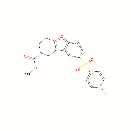 CC(C)(C)OC(=O)N1CCc2oc3ccc(S(=O)(=O)c4ccc(F)cc4)cc3c2C1